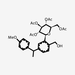 COc1ccc(C(C)c2ccc(CO)c([C@@H]3O[C@H](COC(C)=O)[C@@H](OC(C)=O)[C@H](OC(C)=O)[C@H]3OC(C)=O)c2)cc1